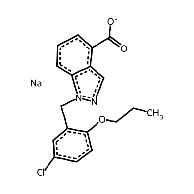 CCCOc1ccc(Cl)cc1Cn1ncc2c(C(=O)[O-])cccc21.[Na+]